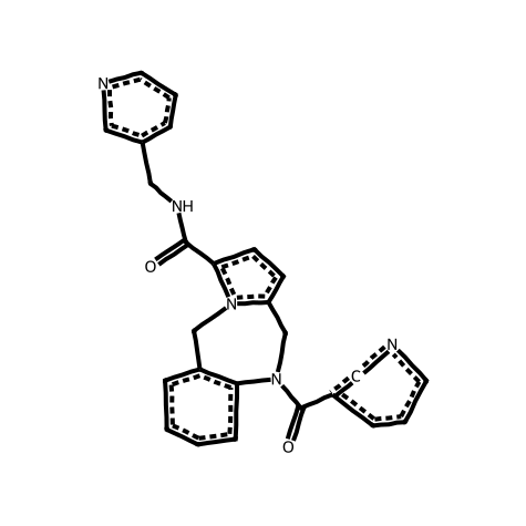 O=C(NCc1cccnc1)c1ccc2n1Cc1ccccc1N(C(=O)c1cccnc1)C2